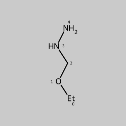 CCOCNN